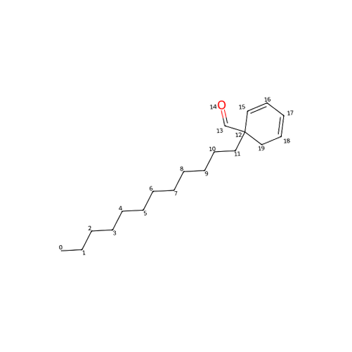 CCCCCCCCCCCCC1(C=O)C=CC=CC1